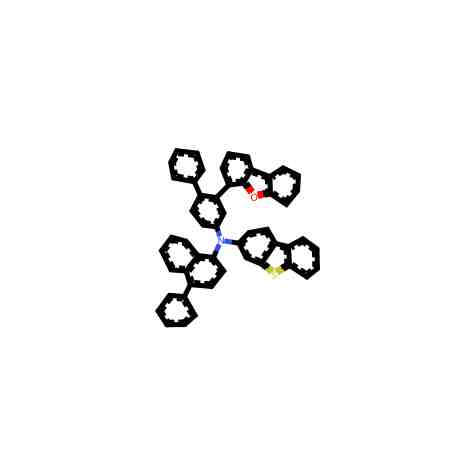 c1ccc(-c2ccc(N(c3ccc4c(c3)sc3ccccc34)c3ccc(-c4ccccc4)c4ccccc34)cc2-c2cccc3c2oc2ccccc23)cc1